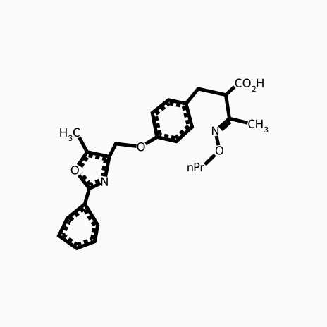 CCCON=C(C)C(Cc1ccc(OCc2nc(-c3ccccc3)oc2C)cc1)C(=O)O